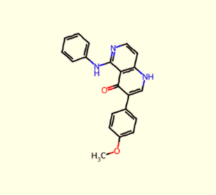 COc1ccc(-c2c[nH]c3ccnc(Nc4ccccc4)c3c2=O)cc1